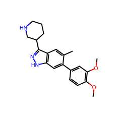 COc1ccc(-c2cc3[nH]nc(C4CCCNC4)c3cc2C)cc1OC